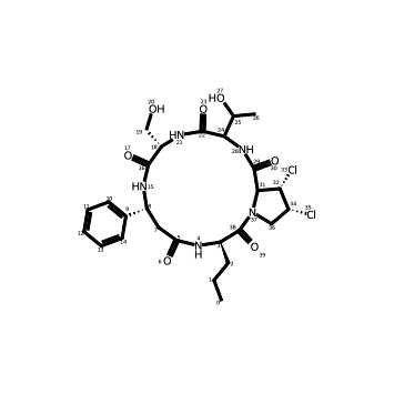 CCC[C@H]1NC(=O)C[C@H](c2ccccc2)NC(=O)[C@H](CO)NC(=O)C(C(C)O)NC(=O)C2[C@H](Cl)[C@H](Cl)CN2C1=O